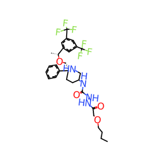 CCCCOCC(=O)NNC(=O)N[C@H]1CC[C@@](CO[C@H](C)c2cc(C(F)(F)F)cc(C(F)(F)F)c2)(c2ccccc2)NC1